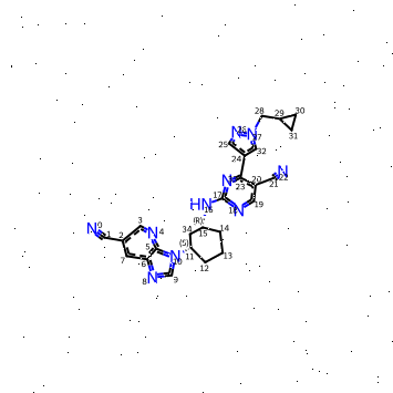 N#Cc1cnc2c(c1)ncn2[C@H]1CCC[C@@H](Nc2ncc(C#N)c(-c3cnn(CC4CC4)c3)n2)C1